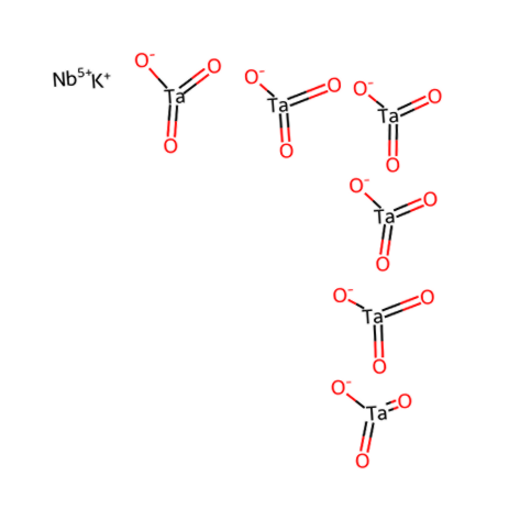 [K+].[Nb+5].[O]=[Ta](=[O])[O-].[O]=[Ta](=[O])[O-].[O]=[Ta](=[O])[O-].[O]=[Ta](=[O])[O-].[O]=[Ta](=[O])[O-].[O]=[Ta](=[O])[O-]